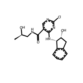 C[C@@H](O)CNC(=O)c1cnc(Cl)nc1N[C@H]1c2ccccc2C[C@H]1O